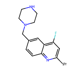 CC(C)c1cc(F)c2cc(CN3CCNCC3)ccc2n1